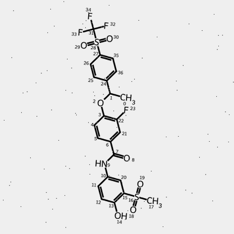 CC(Oc1ccc(C(=O)Nc2ccc(O)c(S(C)(=O)=O)c2)cc1F)c1ccc(S(=O)(=O)C(F)(F)F)cc1